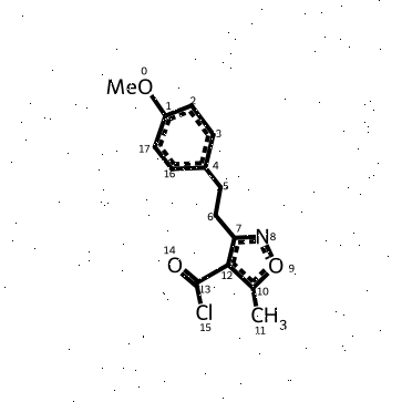 COc1ccc(CCc2noc(C)c2C(=O)Cl)cc1